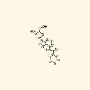 O=C(Nc1ncnc2c1ncn2[C@H]1C[C@H](O)[C@@H](CO)O1)C1CCCCC1